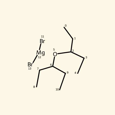 CCC(CC)OC(CC)CC.[Br][Mg][Br]